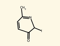 CC1=NC(I)C(=O)C=C1